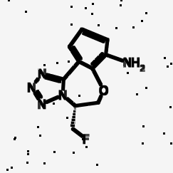 Nc1cccc2c1OC[C@H](CF)n1nnnc1-2